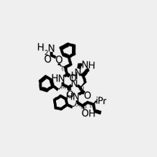 C=C[C@@H](C[C@@H](O)[C@H](CC1CCCCC1)NC(=O)[C@H](Cc1c[nH]cn1)NC(=O)[C@H](Cc1ccccc1)NC(=O)[C@H](COC(N)=O)Cc1ccccc1)C(C)C